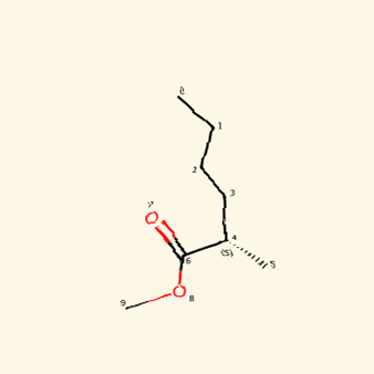 CCCC[C@H](C)C(=O)OC